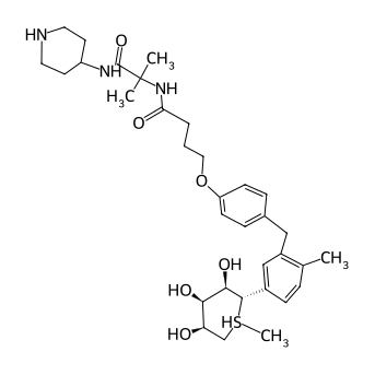 Cc1ccc([C@H]2[C@H](O)[C@H](O)[C@H](O)C[SH]2C)cc1Cc1ccc(OCCCC(=O)NC(C)(C)C(=O)NC2CCNCC2)cc1